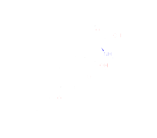 C=CCOc1ccc(CC(C[C@H](N)C(=O)O)C(=O)O)cc1